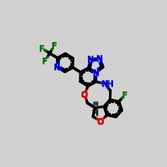 Fc1ccc2c3c1CNc1c(cc(-c4ccc(C(F)(F)F)nc4)c4nncn14)OC[C@@H]3CO2